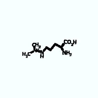 C[N+](C)NCCCC(N)C(=O)O